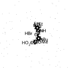 Br.CCOc1cc2c(c(F)c1OCC)C(=N)N(CC(=O)c1cc(N3CCC(C(=O)O)C3)c(OC)c(C(C)(C)C)c1)C2